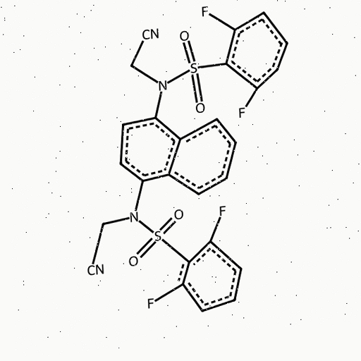 N#CCN(c1ccc(N(CC#N)S(=O)(=O)c2c(F)cccc2F)c2ccccc12)S(=O)(=O)c1c(F)cccc1F